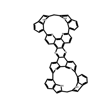 c1cc2c3[nH]c(cc3c1)Cc1cc3cccc(c3[nH]1)-c1ccc3c(n1)c1nc-2ccc1c1nc2c4ccc5nc4c4nc(ccc4c2nc31)-c1cccc2cc([nH]c12)Cc1cc2cccc-5c2[nH]1